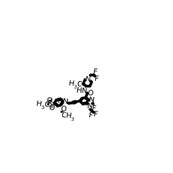 CCOc1cc(S(C)(=O)=O)ccc1NCC#Cc1cc(C(=O)N[C@H]2CCN(CC(F)F)C[C@@H]2C)c2ncn(CC(F)(F)F)c2c1